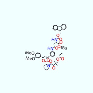 C=CC(=O)OCC(C)(C)C(=O)C(=O)N1CCCCC1C(=O)O[C@H](CCc1ccc(OC)c(OC)c1)c1cccc(NC(=O)CC(NC(=O)OCC2c3ccccc3-c3ccccc32)C(=O)OC(C)(C)C)c1